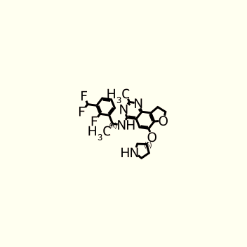 Cc1nc(N[C@H](C)c2cccc(C(F)F)c2F)c2cc(O[C@H]3CCNC3)c3c(c2n1)CCO3